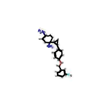 NC1CCC(N)(C2CC2c2ccc(OCc3cccc(F)c3)cc2)CC1